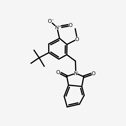 COc1c(CN2C(=O)c3ccccc3C2=O)cc(C(C)(C)C)cc1[N+](=O)[O-]